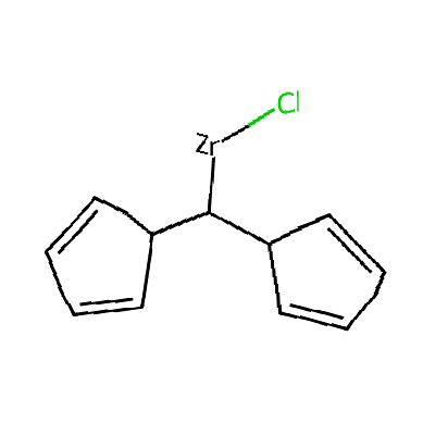 [Cl][Zr][CH](C1C=CC=C1)C1C=CC=C1